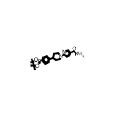 CC1(C)OB(c2ccc(C3CCN(c4ccc(C(N)=O)cn4)CC3)cc2)OC1(C)C